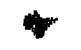 CCCc1ccc2c(=O)n(-c3ccc(Cl)c4c(NS(C)(=O)=O)nn(C)c34)c([C@H](Cc3cc(F)cc(F)c3)NC(=O)Cn3nc(C(F)F)c4c3C(F)(F)[C@@H]3C[C@H]43)nc2c1